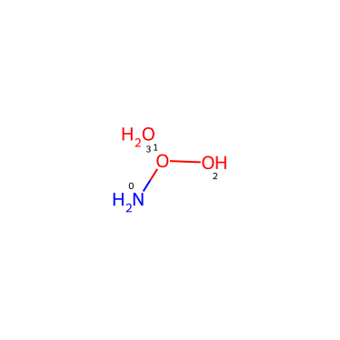 NOO.O